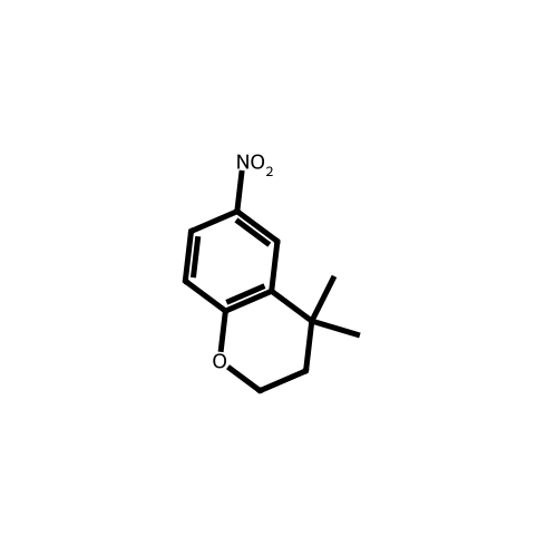 CC1(C)CCOc2ccc([N+](=O)[O-])cc21